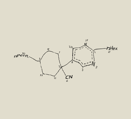 CCCCCCc1ncc(C2(C#N)CCC(CCCCC)CC2)cn1